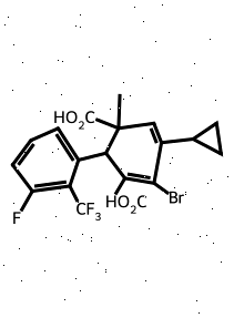 CC1(C(=O)O)C=C(C2CC2)C(Br)=C(C(=O)O)C1c1cccc(F)c1C(F)(F)F